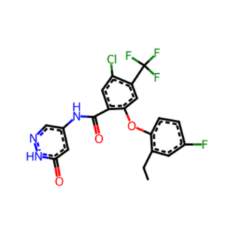 CCc1cc(F)ccc1Oc1cc(C(F)(F)F)c(Cl)cc1C(=O)Nc1cn[nH]c(=O)c1